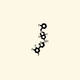 Fc1cc(F)c(F)c(-c2ccc(N[C@H]3C[C@@H]4CN(Cc5ccccc5F)C[C@@H]4C3)nn2)c1